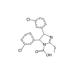 CSC1=NC(c2cccc(Cl)c2)C(c2cccc(Cl)c2)N1C(=O)O